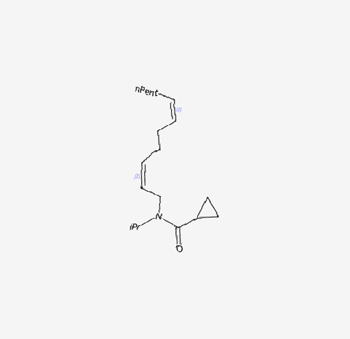 CCCCC/C=C\CC/C=C\CN(C(=O)C1CC1)C(C)C